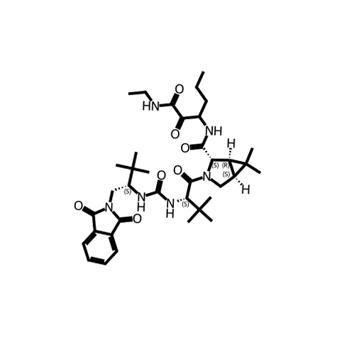 CCCC(NC(=O)[C@@H]1[C@@H]2[C@H](CN1C(=O)[C@@H](NC(=O)N[C@H](CN1C(=O)c3ccccc3C1=O)C(C)(C)C)C(C)(C)C)C2(C)C)C(=O)C(=O)NCC